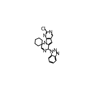 Clc1ncc2cc3n(c2n1)C1(C=NC3n2nnc3ccccc32)CCCCC1